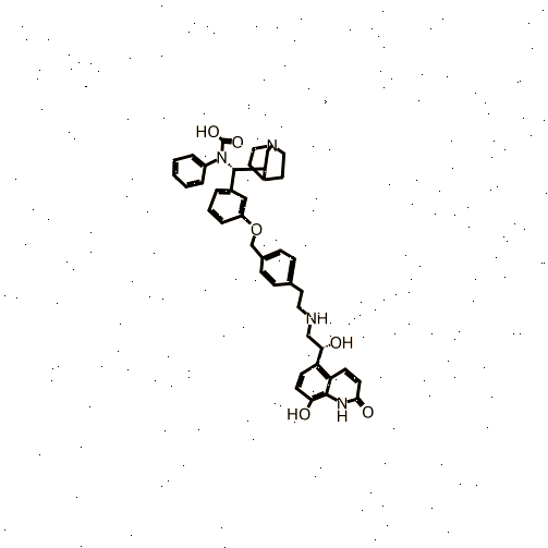 O=C(O)N(c1ccccc1)[C@@H](c1cccc(OCc2ccc(CCNC[C@H](O)c3ccc(O)c4[nH]c(=O)ccc34)cc2)c1)C1CN2CCC1CC2